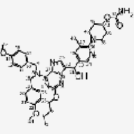 CCCCOc1nc(N(Cc2ccc(OC)cc2)Cc2ccc(OC)cc2)c2ncc(C(O)c3cnc(N4CCC(OC(N)=O)CC4)c(C)c3)n2n1